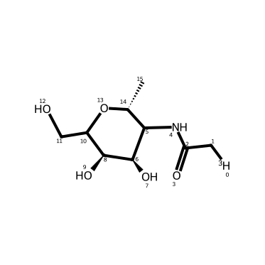 [3H]CC(=O)NC1[C@@H](O)[C@@H](O)C(CO)O[C@@H]1C